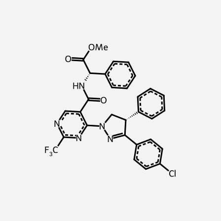 COC(=O)[C@@H](NC(=O)c1cnc(C(F)(F)F)nc1N1C[C@H](c2ccccc2)C(c2ccc(Cl)cc2)=N1)c1ccccc1